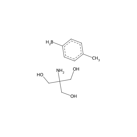 Bc1ccc(C)cc1.NC(CO)(CO)CO